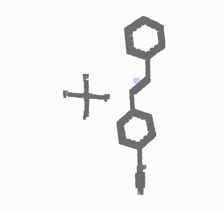 F[B-](F)(F)F.N#[N+]c1ccc(/C=C/c2ccccc2)cc1